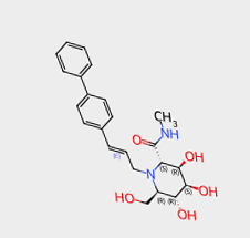 CNC(=O)[C@@H]1[C@@H](O)[C@@H](O)[C@H](O)[C@@H](CO)N1C/C=C/c1ccc(-c2ccccc2)cc1